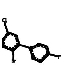 Fc1ccc(-c2cc(Cl)ccc2Br)cc1